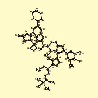 C=C/C(=C\C=C(/C)P(C)(C)=O)n1ccn(-c2c3c(nn2-c2cc(C)c(F)c(C)c2)CCN(C(=O)c2cc4cc(C5CCOCC5)ccc4n2C2(c4noc(=O)[nH]4)CCC2)C3C)c1=O